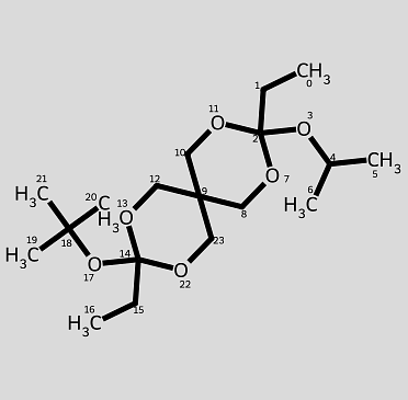 CCC1(OC(C)C)OCC2(CO1)COC(CC)(OC(C)(C)C)OC2